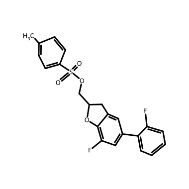 Cc1ccc(S(=O)(=O)OCC2Cc3cc(-c4ccccc4F)cc(F)c3O2)cc1